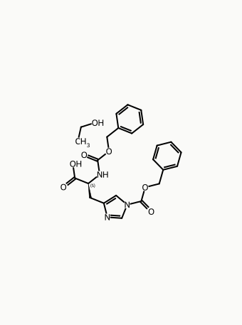 CCO.O=C(N[C@@H](Cc1cn(C(=O)OCc2ccccc2)cn1)C(=O)O)OCc1ccccc1